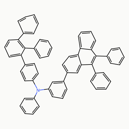 c1ccc(-c2cccc(-c3ccc(N(c4ccccc4)c4cccc(-c5ccc6c(c5)c(-c5ccccc5)c(-c5ccccc5)c5ccccc56)c4)cc3)c2-c2ccccc2)cc1